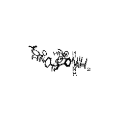 CCNS(=O)(=O)c1cc(NC(=N)N)ccc1-c1cnc(C2CCC(NC(=O)OC(C)C)CC2)s1